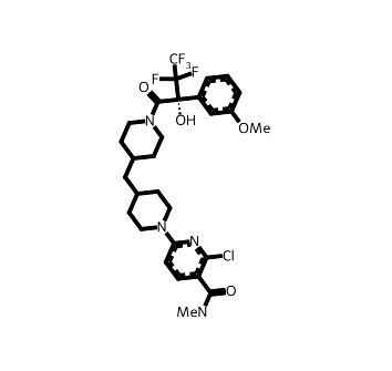 CNC(=O)c1ccc(N2CCC(CC3CCN(C(=O)[C@](O)(c4cccc(OC)c4)C(F)(F)C(F)(F)F)CC3)CC2)nc1Cl